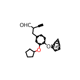 C#CC(C=O)Cc1ccc(OC)c(OC2CCCC2)c1.c1cc2cc-2c1